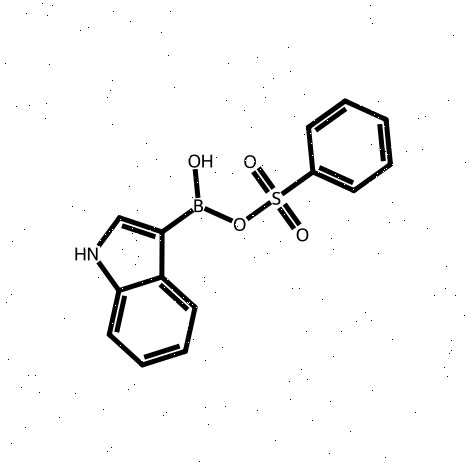 O=S(=O)(OB(O)c1c[nH]c2ccccc12)c1ccccc1